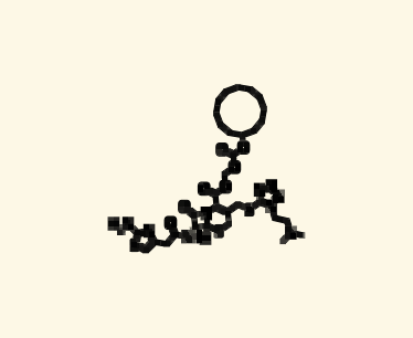 CN(C)CCn1nnnc1SCC1=C(C(=O)OCOC(=O)OC2CCCCCCCCCCC2)N2C(=O)[C@@H](NC(=O)Cc3csc(N)n3)[C@H]2SC1